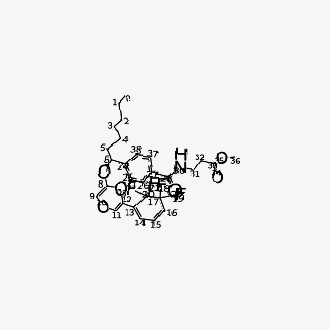 CCCCCCC(OC1=COC=C(C2=CC=CC(F)(F)C2(F)F)O1)c1ccc(C(=O)NCCC(=O)OC)cc1